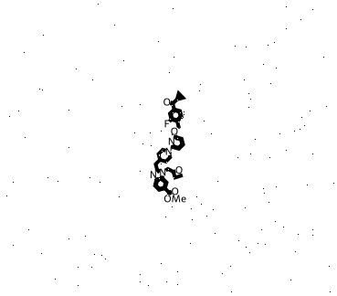 COC(=O)c1ccc2nc(CC3CCN(c4cccc(OCc5ccc(C(=O)C6CC6)cc5F)n4)CC3)n(CC3CCO3)c2c1